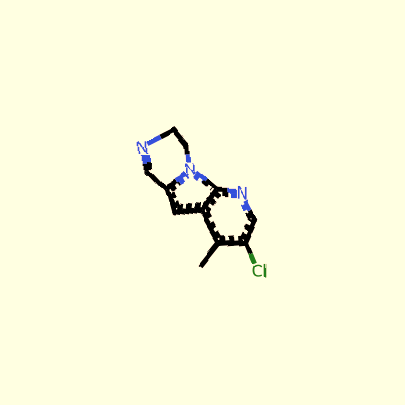 Cc1c(Cl)cnc2c1cc1n2CCN=C1